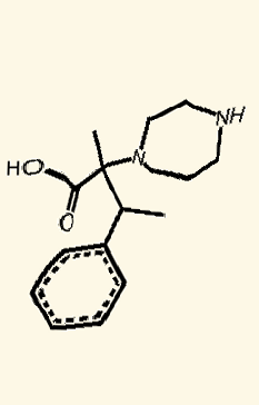 CC(c1ccccc1)C(C)(C(=O)O)N1CCNCC1